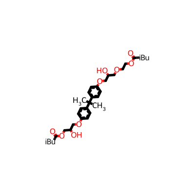 CCC(C)C(=O)OCCOCC(O)COc1ccc(C(C)(C)c2ccc(OCC(O)COC(=O)C(C)CC)cc2)cc1